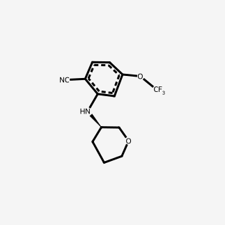 N#Cc1ccc(OC(F)(F)F)cc1N[C@@H]1CCCOC1